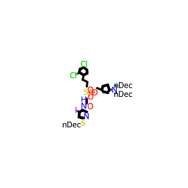 CCCCCCCCCCSc1cc(I)c(NC(=O)COP(=S)(OCCCc2ccc(Cl)cc2Cl)OCc2ccc(N(CCCCCCCCCC)CCCCCCCCCC)cc2)cn1